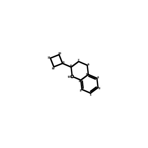 c1ccc2c(c1)CCC(C1CCC1)O2